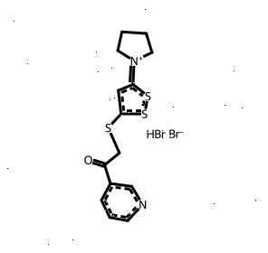 Br.O=C(CSc1cc(=[N+]2CCCC2)ss1)c1cccnc1.[Br-]